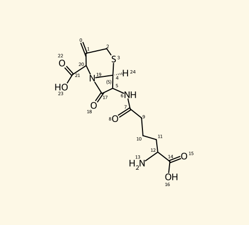 C=C1CS[C@H]2C(NC(=O)CCCC(N)C(=O)O)C(=O)N2C1C(=O)O